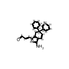 Nc1nn(C=CC=O)c2c1C=CC(c1ccccc1)(c1cccnc1)C2